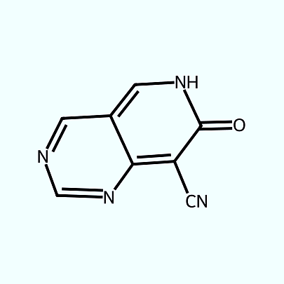 N#Cc1c(=O)[nH]cc2cncnc12